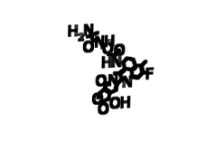 Cc1c(F)cc2nc3c(c4c2c1CC[C@@H]4NC(=O)COCNC(=O)C(C)(C)N)Cn1c-3cc2c(c1=O)COC(=O)[C@H]2O